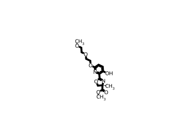 COCCOCCOc1ccc(O)c(C2=N[C@@](C)(C(=O)OC)CO2)n1